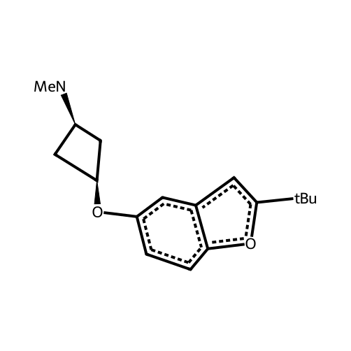 CN[C@H]1C[C@@H](Oc2ccc3oc(C(C)(C)C)cc3c2)C1